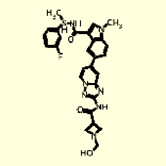 Cn1cc(C(=O)N[SH](C)c2cccc(F)c2)c2cc(-c3ccn4nc(NC(=O)C5CN(CO)C5)nc4c3)ccc21